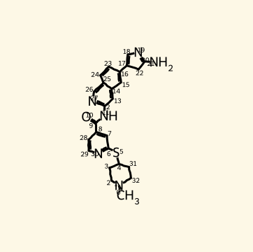 CN1CCC(Sc2cc(C(=O)Nc3cc4cc(C5=CN=C(N)C5)ccc4cn3)ccn2)CC1